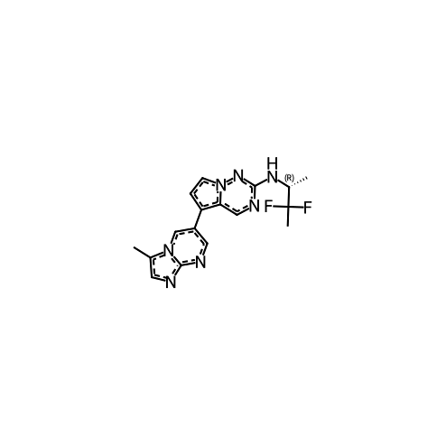 Cc1cnc2ncc(-c3ccn4nc(N[C@H](C)C(C)(F)F)ncc34)cn12